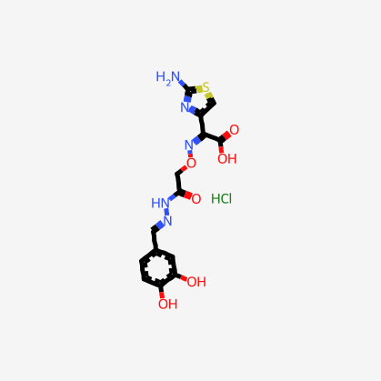 Cl.Nc1nc(/C(=N/OCC(=O)N/N=C/c2ccc(O)c(O)c2)C(=O)O)cs1